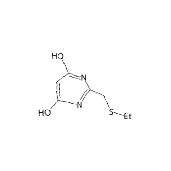 CCSCc1nc(O)cc(O)n1